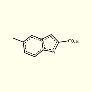 CCOC(=O)c1cn2cc(C)ccc2n1